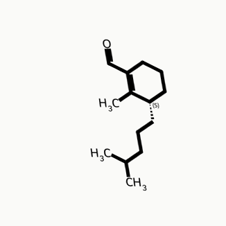 CC1=C(C=O)CCC[C@@H]1CCCC(C)C